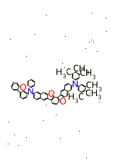 Cc1cc(N(c2cc(C)c(C)c(C)c2)c2ccc3cc4c(cc3c2)oc2ccc3c5cc6ccc(N(c7ccccc7)c7cccc8c7oc7ccccc78)cc6cc5oc3c24)cc(C)c1C